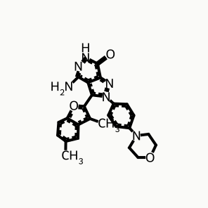 Cc1ccc2oc(-c3c4c(N)n[nH]c(=O)c4nn3-c3ccc(N4CCOCC4)cc3)c(C)c2c1